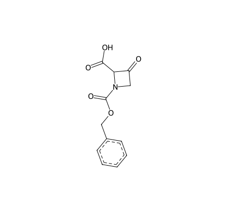 O=C(O)C1C(=O)CN1C(=O)OCc1ccccc1